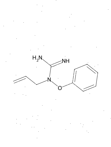 C=CCN(Oc1ccccc1)C(=N)N